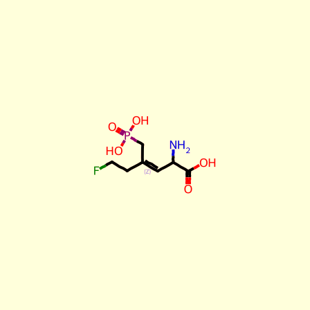 NC(/C=C(/CCF)CP(=O)(O)O)C(=O)O